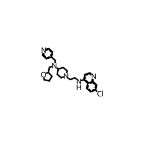 Clc1ccc2c(NCCN3CCC(N(Cc4ccncc4)CC4CCCO4)CC3)ccnc2c1